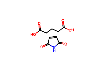 O=C(O)CCCC(=O)O.O=C1C=CC(=O)N1